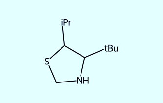 CC(C)C1SCNC1C(C)(C)C